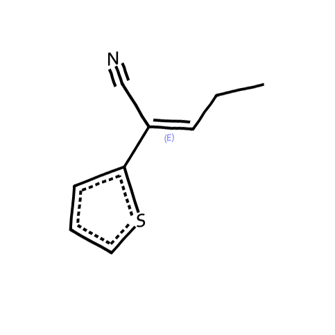 CC/C=C(\C#N)c1cccs1